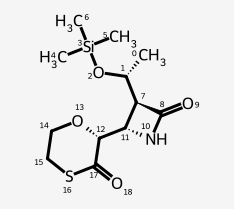 C[C@@H](O[Si](C)(C)C)[C@H]1C(=O)N[C@@H]1[C@H]1OCCSC1=O